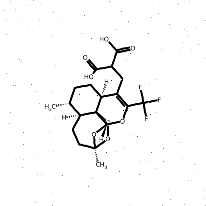 C[C@@H]1CC[C@H]2C(CC(C(=O)O)C(=O)O)=C(C(F)(F)F)O[C@@H]3O[C@]4(C)CC[C@@H]1C32OO4